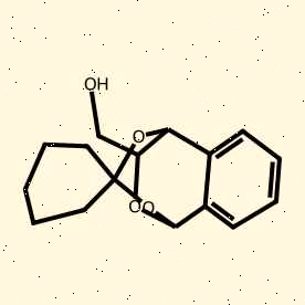 OCC1OC2OC3(CCCCC3)OC1c1ccccc12